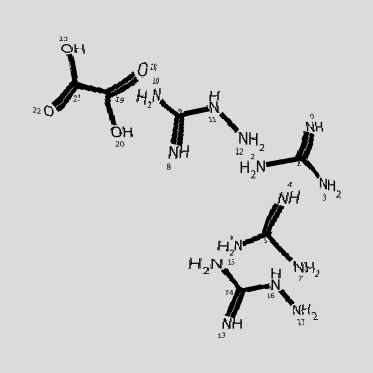 N=C(N)N.N=C(N)N.N=C(N)NN.N=C(N)NN.O=C(O)C(=O)O